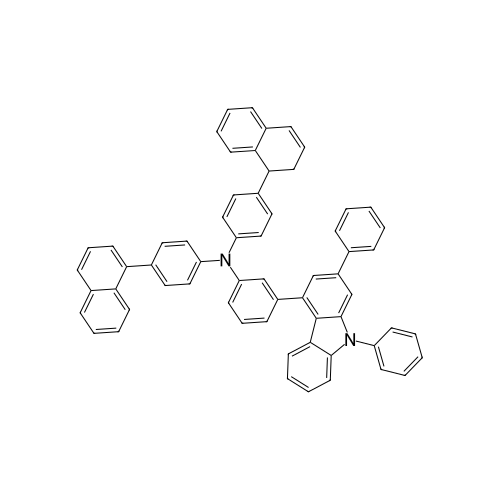 C1=Cc2ccccc2C(c2ccc(N(c3ccc(-c4cccc5ccccc45)cc3)c3cccc(-c4cc(-c5ccccc5)cc5c4c4ccccc4n5-c4ccccc4)c3)cc2)C1